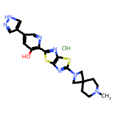 CN1CCC2(CC1)CN(c1nc3sc(-c4ncc(-c5cn[nH]c5)cc4O)nc3s1)C2.Cl